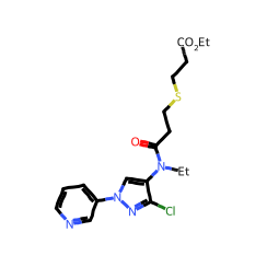 CCOC(=O)CCSCCC(=O)N(CC)c1cn(-c2cccnc2)nc1Cl